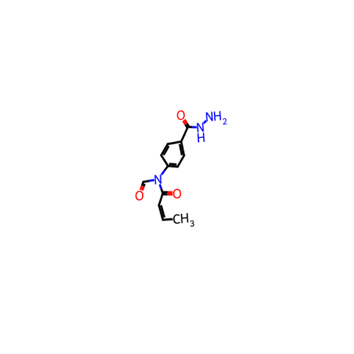 C/C=C\C(=O)N(C=O)c1ccc(C(=O)NN)cc1